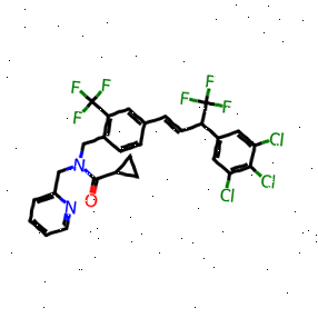 O=C(C1CC1)N(Cc1ccccn1)Cc1ccc(C=CC(c2cc(Cl)c(Cl)c(Cl)c2)C(F)(F)F)cc1C(F)(F)F